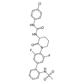 CS(=O)(=O)Nc1ccccc1-c1cc(F)c(N2CCCC(NC(=O)Nc3ccc(Cl)cc3)C2=O)c(F)c1